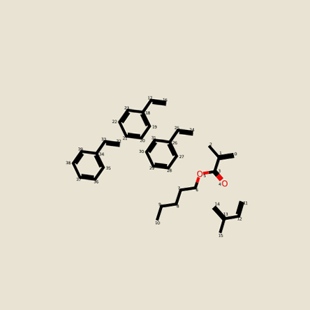 C=C(C)C(=O)OCCCCC.C=CC(=C)C.C=Cc1ccccc1.C=Cc1ccccc1.C=Cc1ccccc1